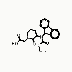 COC(=O)N(C1CCCN(CC(=O)O)C1=O)C1c2ccccc2-c2ccccc21